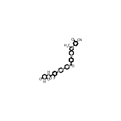 C[C@@H]1CC2(CCN(c3ccc(C(=O)N4CCC(N5CCN(c6ccc(C(=O)NC7CCC(=O)NC7=O)c(F)c6)CC5)CC4)cc3)CC2)CN1c1ccc(C#N)c(Cl)c1